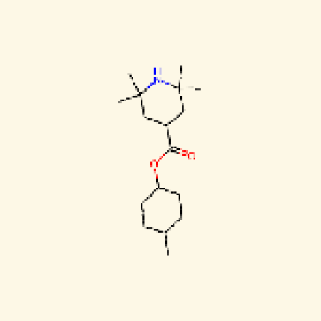 CC1CCC(OC(=O)C2CC(C)(C)NC(C)(C)C2)CC1